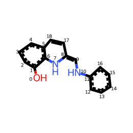 Oc1cccc2c1NC(=CNc1ccccc1)C=C2